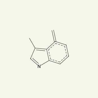 C=c1cccc2c1=C(C)C=N2